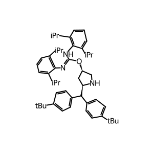 CC(C)c1cccc(C(C)C)c1/N=C(\Nc1c(C(C)C)cccc1C(C)C)O[C@H]1CN[C@@H](C(c2ccc(C(C)(C)C)cc2)c2ccc(C(C)(C)C)cc2)C1